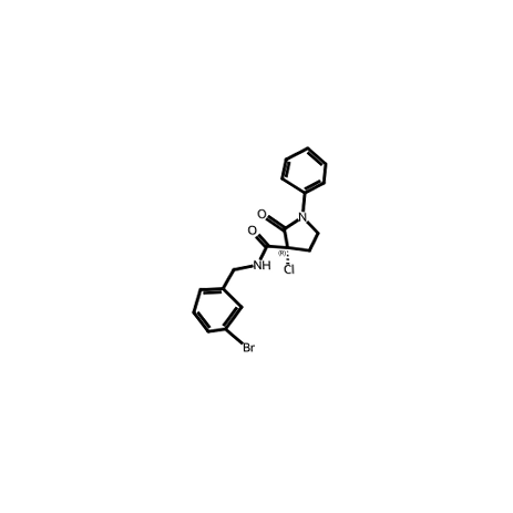 O=C(NCc1cccc(Br)c1)[C@]1(Cl)CCN(c2ccccc2)C1=O